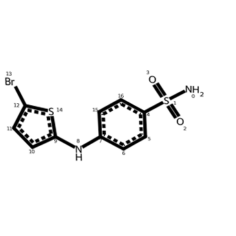 NS(=O)(=O)c1ccc(Nc2ccc(Br)s2)cc1